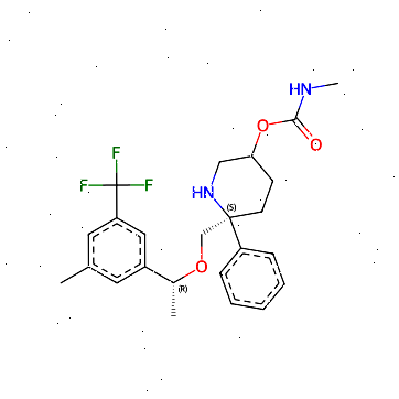 CNC(=O)OC1CC[C@@](CO[C@H](C)c2cc(C)cc(C(F)(F)F)c2)(c2ccccc2)NC1